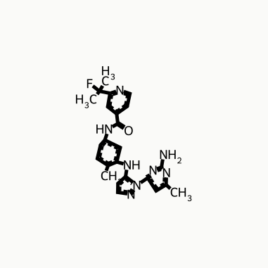 Cc1cc(-n2nccc2Nc2cc(NC(=O)c3ccnc(C(C)(C)F)c3)ccc2C)nc(N)n1